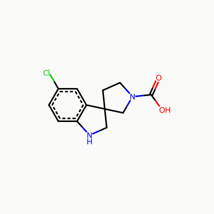 O=C(O)N1CCC2(CNc3ccc(Cl)cc32)C1